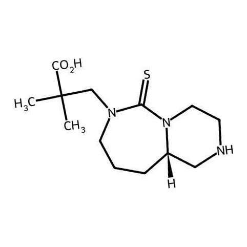 CC(C)(CN1CCC[C@H]2CNCCN2C1=S)C(=O)O